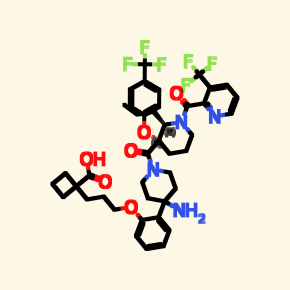 CCC[C@H]1N(C(=O)c2ncccc2C(F)(F)F)CCC[C@@]1(Oc1ccc(C(F)(F)F)cc1)C(=O)N1CCC(N)(c2ccccc2OCCCC2(C(=O)O)CCC2)CC1